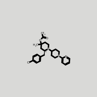 CC1(OC(=O)C(F)(F)F)CCN(C2CCN(c3ccccn3)CC2)[C@@H](Cc2ccc(Cl)cc2)C1